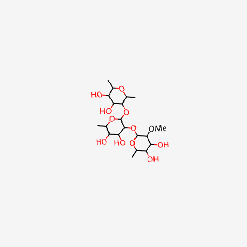 COC1C(OC2C(OC3C(C)OC(C)C(O)C3O)OC(C)C(O)C2O)OC(C)C(O)C1O